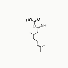 CC(C)=CCCC(C)CC(=N)OC(=O)O